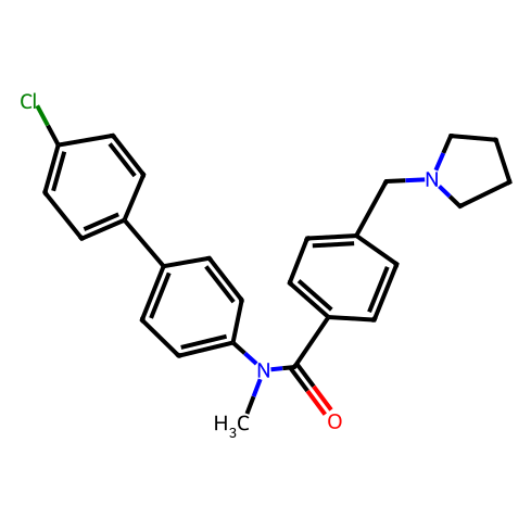 CN(C(=O)c1ccc(CN2CCCC2)cc1)c1ccc(-c2ccc(Cl)cc2)cc1